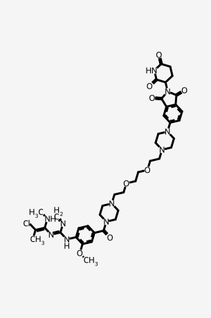 C=N/C(=N\C(NC)=C(/C)Cl)Nc1ccc(C(=O)N2CCN(CCOCCOCCN3CCN(c4ccc5c(c4)C(=O)N(C4CCC(=O)NC4=O)C5=O)CC3)CC2)cc1OC